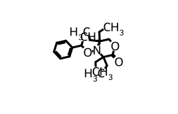 CCC1(CC)COC(=O)C(CC)(CC)N1OC(C)c1ccccc1